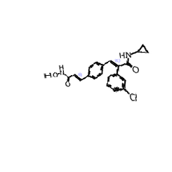 O=C(/C=C/c1ccc(/C=C(/C(=O)NC2CC2)c2cccc(Cl)c2)cc1)NO